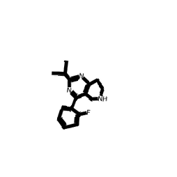 CC(C)c1nc2c(c(-c3ccccc3F)n1)CNCC2